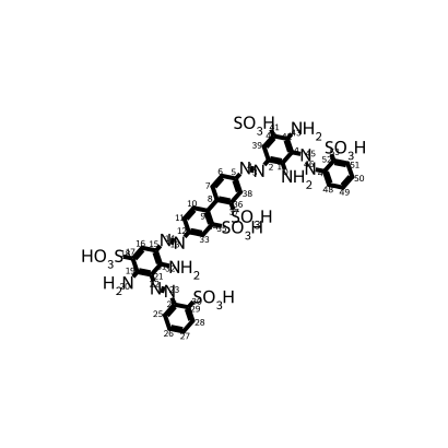 Nc1c(N=Nc2ccc(-c3ccc(N=Nc4cc(S(=O)(=O)O)c(N)c(N=Nc5ccccc5S(=O)(=O)O)c4N)cc3S(=O)(=O)O)c(S(=O)(=O)O)c2)cc(S(=O)(=O)O)c(N)c1N=Nc1ccccc1S(=O)(=O)O